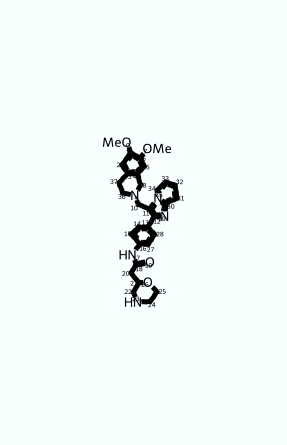 COc1cc2c(cc1OC)CN(Cc1c(-c3ccc(NC(=O)CC4CNCCO4)cc3)nc3ccccn13)CC2